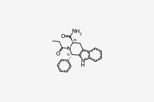 CCC(=O)N1[C@@H](c2ccccc2)c2[nH]c3ccccc3c2C[C@@H]1C(N)=O